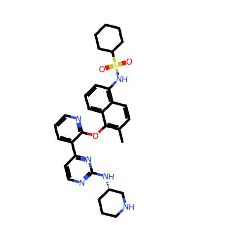 Cc1ccc2c(NS(=O)(=O)C3CCCCC3)cccc2c1Oc1ncccc1-c1ccnc(N[C@H]2CCCNC2)n1